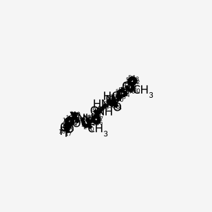 Cc1ccc(NC(=O)C2(c3ccc4c(c3)OC(F)(F)O4)CC2)nc1-c1cccc(C(=O)NCCNc2cc(=O)n(CC3(O)CCN(C(=O)C[C@@H](C)c4ccccc4)CC3)cn2)c1